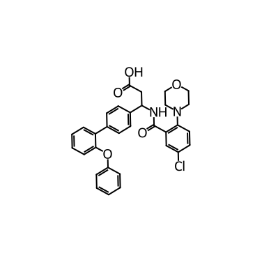 O=C(O)CC(NC(=O)c1cc(Cl)ccc1N1CCOCC1)c1ccc(-c2ccccc2Oc2ccccc2)cc1